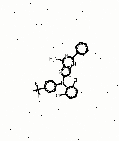 Nc1nc(-c2ccccc2)nc2sc(N(c3ccc(C(F)(F)F)cc3)c3c(Cl)cccc3Cl)nc12